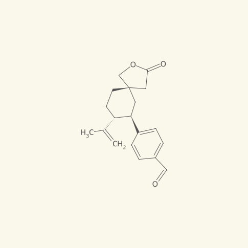 C=C(C)[C@@H]1CC[C@]2(COC(=O)C2)C[C@H]1c1ccc(C=O)cc1